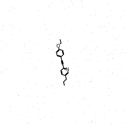 CCCc1ccc(C#Cc2ccc(OCC)cc2)nc1